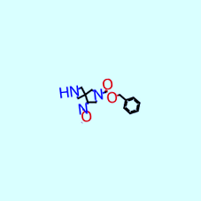 CO/N=C1\CN(C(=O)OCc2ccccc2)CC12CNC2